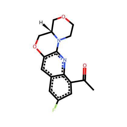 CC(=O)c1cc(F)cc2cc3c(nc12)N1CCOC[C@H]1CO3